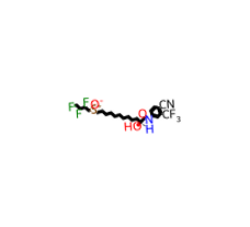 C[C@](O)(CCCCCCCCCC[S+]([O-])CC(F)C(F)CF)C(=O)Nc1ccc(C#N)c(C(F)(F)F)c1